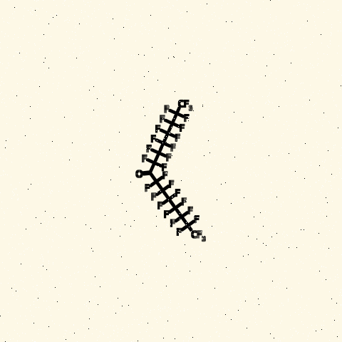 O=C(C(F)(F)C(F)(F)C(F)(F)C(F)(F)C(F)(F)C(F)(F)C(F)(F)F)C(F)(F)C(F)(F)C(F)(F)C(F)(F)C(F)(F)C(F)(F)C(F)(F)F